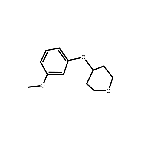 COc1cccc(OC2CCOCC2)c1